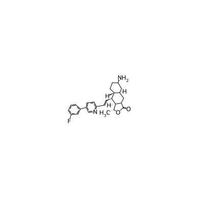 C[C@H]1OC(=O)C2C[C@@H]3C[C@H](N)CC[C@H]3[C@H](/C=C/c3ccc(-c4cccc(F)c4)cn3)[C@@H]21